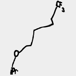 C[C](C)OCCCC(F)(F)F